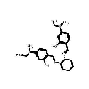 CCN(C)c1ccc(/C=N/[C@@H]2CCCC[C@H]2/N=C/c2ccc(N(C)CC)cc2O)c(O)c1